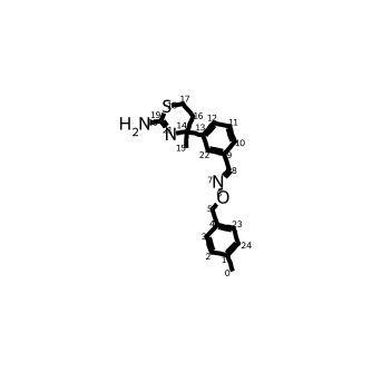 Cc1ccc(CO/N=C/c2cccc(C3(C)CCSC(N)=N3)c2)cc1